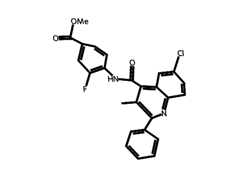 COC(=O)c1ccc(NC(=O)c2c(C)c(-c3ccccc3)nc3ccc(Cl)cc23)c(F)c1